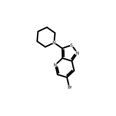 Brc1cnc2c(N3CCCCC3)snc2c1